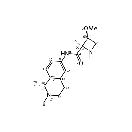 CO[C@H]1CN[C@@]1(C)C(=O)Nc1ccc2c(c1)CCN(C)[C@@H]2C